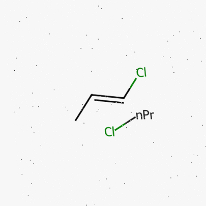 CC=CCl.CCCCl